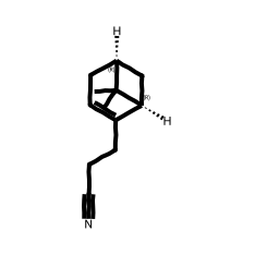 CC1(C)[C@H]2CC=C(CCC#N)[C@@H]1C2